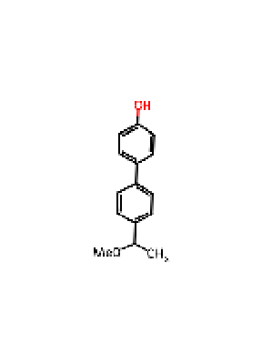 COC(C)c1ccc(-c2ccc(O)cc2)cc1